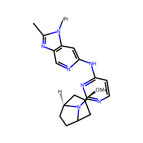 CO[C@H]1CC2CC[C@@H](C1)N2c1nccc(Nc2cc3c(cn2)nc(C)n3C(C)C)n1